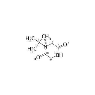 CC(C)(C)N1CC(=O)BCC1=O